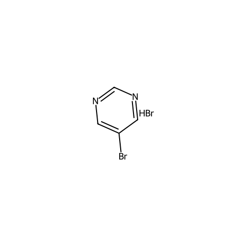 Br.Brc1cncnc1